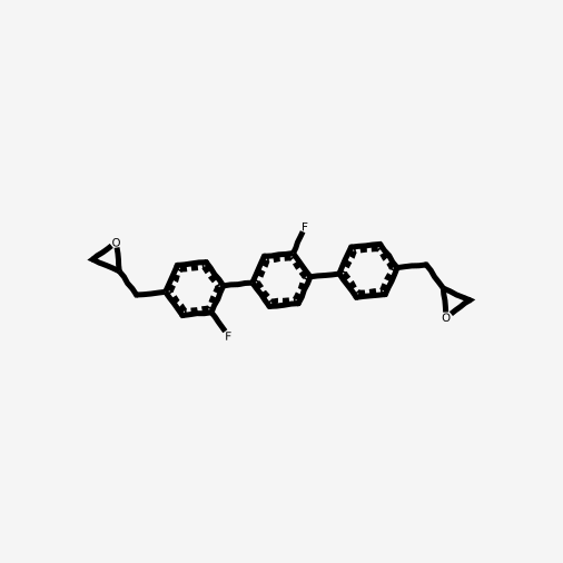 Fc1cc(CC2CO2)ccc1-c1ccc(-c2ccc(CC3CO3)cc2)c(F)c1